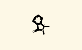 C[C@@H]1c2ccccc2C(=O)N1C